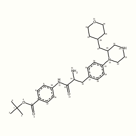 CC(C)(C)OC(=O)c1ccc(NC(=O)C(N)Cc2ccc(N3CCNCC3CC3CCOCC3)cc2)cc1